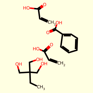 C=CC(=O)O.C=CC(=O)O.CCC(CO)(CO)CO.O=C(O)c1ccccc1